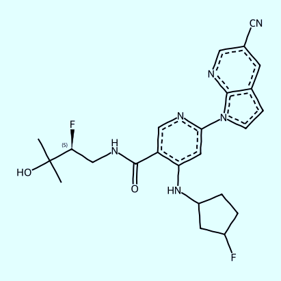 CC(C)(O)[C@@H](F)CNC(=O)c1cnc(-n2ccc3cc(C#N)cnc32)cc1NC1CCC(F)C1